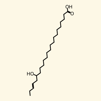 CCC=CCC(O)CCCCCCCCCCCCCCCCC(=O)O